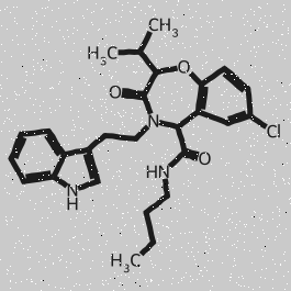 CCCCNC(=O)C1c2cc(Cl)ccc2OC(C(C)C)C(=O)N1CCc1c[nH]c2ccccc12